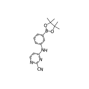 CC1(C)OB(c2cccc(Nc3ccnc(C#N)n3)c2)OC1(C)C